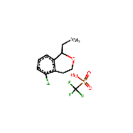 CNCC1OCCc2c(Br)cccc21.O=S(=O)(O)C(F)(F)F